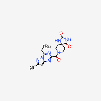 CC(C)(C)Cc1nc(C(=O)N2CCC3(CC2)NC(=O)NC3=O)nc2cc(C#N)nn12